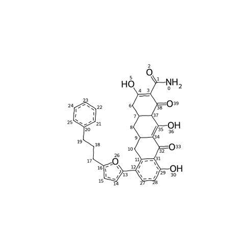 NC(=O)C1=C(O)CC2CC3Cc4c(-c5ccc(CCCc6ccccc6)o5)ccc(O)c4C(=O)C3=C(O)C2C1=O